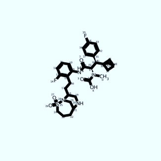 CN(C(=O)O)[C@H](C(=O)Nc1cccc(F)c1CCC1CNC2CCCS(=O)(=O)N1C2)[C@@H](c1ccc(F)cc1)C12CC(C1)C2